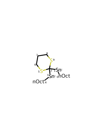 CCCCCCC[CH2][Sn][C]1([Sn][CH2]CCCCCCC)SCCCS1